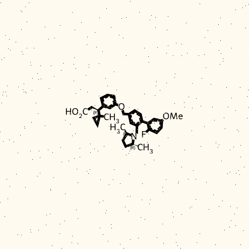 COc1ccc(F)c(-c2ccc(COc3cccc([C@H](CC(=O)O)C4(C)CC4)c3)cc2CN2[C@H](C)CC[C@H]2C)c1